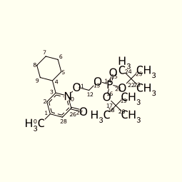 Cc1cc(C2CCCCC2)n(OCOP(=O)(OC(C)(C)C)OC(C)(C)C)c(=O)c1